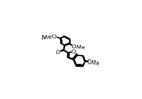 COc1ccc(OC)c(C(=O)c2cc3ccc(OC)cc3o2)c1